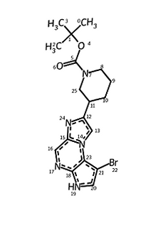 CC(C)(C)OC(=O)N1CCCC(c2cn3c(cnc4[nH]cc(Br)c43)n2)C1